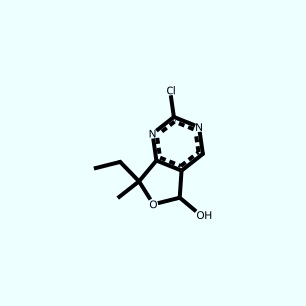 CCC1(C)OC(O)c2cnc(Cl)nc21